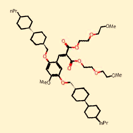 CCCC1CCC([C@H]2CC[C@H](COc3cc(OC)c(OC[C@H]4CC[C@H](C5CCC(CCC)CC5)CC4)cc3C=C(C(=O)OCCOCCOC)C(=O)OCCOCCOC)CC2)CC1